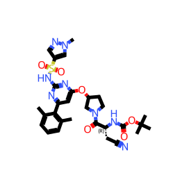 Cc1cccc(C)c1-c1cc(OC2CCN(C(=O)[C@@H](CC#N)NC(=O)OC(C)(C)C)C2)nc(NS(=O)(=O)c2cnn(C)c2)n1